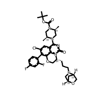 C[C@H]1CN(c2nc(=O)n3c4c(c(-c5ccc(F)cc5F)c(Cl)cc24)OC[C@H]3CCCN2C[C@@H]3C[C@H]2CO3)[C@@H](C)CN1C(=O)OC(C)(C)C